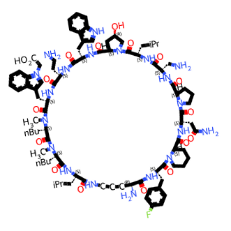 CCCC[C@H]1C(=O)N(C)[C@@H](CCCC)C(=O)N[C@@H](CC(C)C)C(=O)NCCC[C@@H](N)C(=O)N[C@@H](Cc2ccc(F)cc2)C(=O)N2CCCC[C@H]2C(=O)N[C@@H](CC(N)=O)C(=O)N2CCC[C@H]2C(=O)N[C@@H](CN)C(=O)N[C@@H](CC(C)C)C(=O)N2C[C@H](O)C[C@H]2C(=O)N[C@@H](Cc2c[nH]c3ccccc23)C(=O)N[C@@H](CCN)C(=O)N[C@@H](Cc2cn(CC(=O)O)c3ccccc23)C(=O)N1C